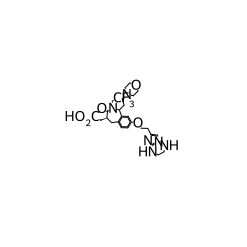 O=C(O)C[C@@H]1Cc2ccc(OCCc3cn4c(n3)NCCN4)cc2C(CCN2CCOCC2)N(CC(F)(F)F)C1=O